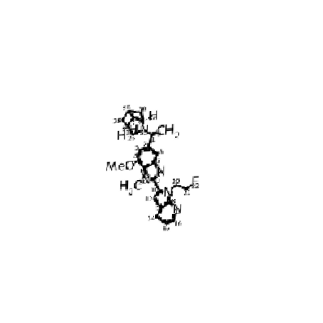 C=C(c1cc(OC)c2c(c1)nc(-c1cc3cccnc3n1CCF)n2C)N1C[C@H]2CC3C[C@@H]1[C@H]32